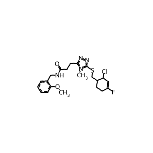 COc1ccccc1CNC(=O)CCc1nnc(SCC2CCC(F)=CC2Cl)n1C